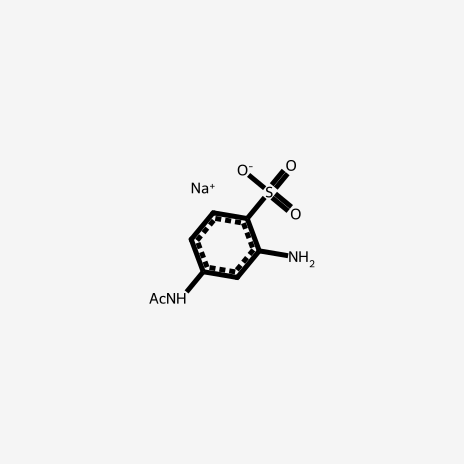 CC(=O)Nc1ccc(S(=O)(=O)[O-])c(N)c1.[Na+]